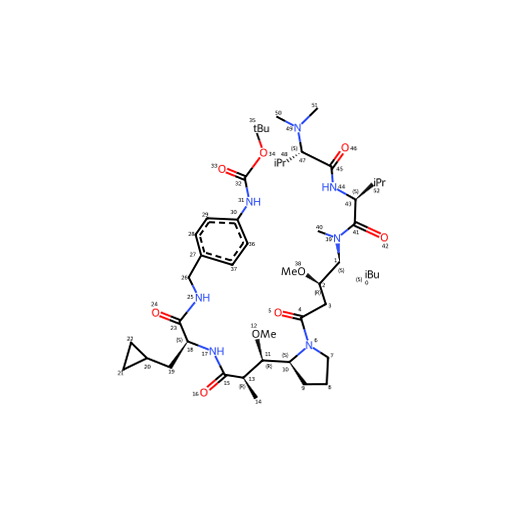 CC[C@H](C)[C@@H]([C@@H](CC(=O)N1CCC[C@H]1[C@H](OC)[C@@H](C)C(=O)N[C@@H](CC1CC1)C(=O)NCc1ccc(NC(=O)OC(C)(C)C)cc1)OC)N(C)C(=O)[C@@H](NC(=O)[C@H](C(C)C)N(C)C)C(C)C